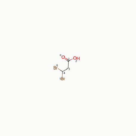 O=C(O)CC(Br)Br